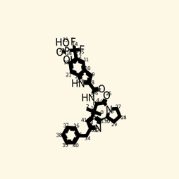 CC(C)(C)[C@H](NC(=O)c1cc2cc(C(F)(F)P(=O)(O)O)ccc2[nH]1)C(=O)N1CCC[C@H]1c1nc(Cc2ccccc2)cs1